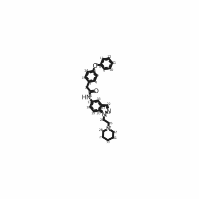 O=C(Cc1ccc(Oc2ccccc2)cc1)Nc1ccc2c(cnn2CCN2CCCCC2)c1